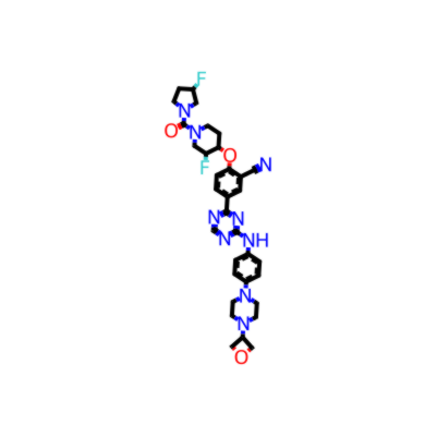 N#Cc1cc(-c2ncnc(Nc3ccc(N4CCN(C5COC5)CC4)cc3)n2)ccc1OC1CCN(C(=O)N2CCC(F)C2)CC1F